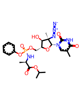 Cc1cn([C@@H]2O[C@H](CO[P@](=O)(N[C@H](C)C(=O)OC(C)C)Oc3ccccc3)[C@@H](O)[C@@]2(C)N=[N+]=[N-])c(=O)[nH]c1=O